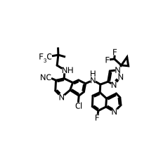 CC(C)(CNc1c(C#N)cnc2c(Cl)cc(NC(c3cn(C4(C(F)F)CC4)nn3)c3ccc(F)c4ncccc34)cc12)C(F)(F)F